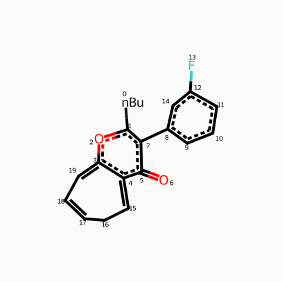 CCCCc1oc2c(c(=O)c1-c1cccc(F)c1)=CCC=CC=2